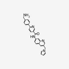 NCc1ccc(-c2ccc(C(=O)Nc3ccc4cc(Cn5cccc5)cnc4c3)cn2)cc1